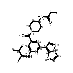 CCC(=O)NC1CCN(C(=O)c2cc(NC(C)C(C)C)nc(-c3cnn4ccsc34)n2)CC1